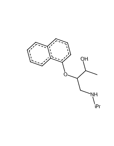 CC(C)NCC(Oc1cccc2ccccc12)C(C)O